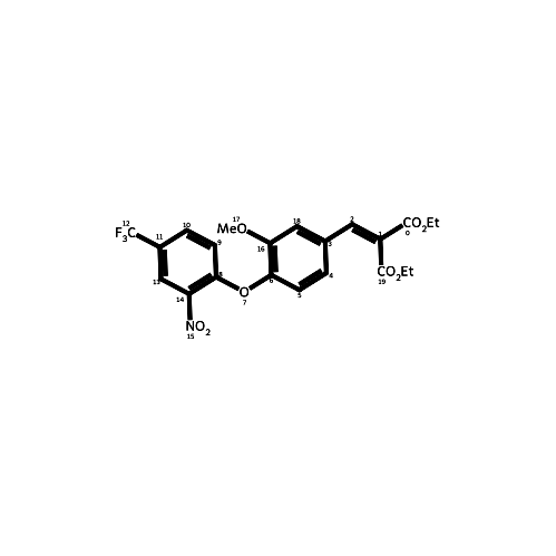 CCOC(=O)C(=Cc1ccc(Oc2ccc(C(F)(F)F)cc2[N+](=O)[O-])c(OC)c1)C(=O)OCC